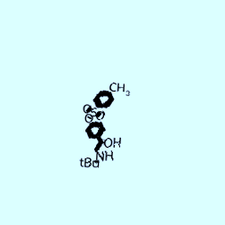 Cc1ccc(S(=O)(=O)Oc2ccc([C@H](O)CNC(C)(C)C)cc2)cc1